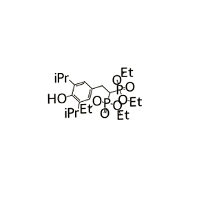 CCOP(=O)(OCC)C(Cc1cc(C(C)C)c(O)c(C(C)C)c1)P(=O)(OCC)OCC